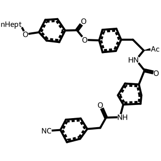 CCCCCCCOc1ccc(C(=O)Oc2ccc(C[C@H](NC(=O)c3ccc(NC(=O)Cc4ccc(C#N)cc4)cc3)C(C)=O)cc2)cc1